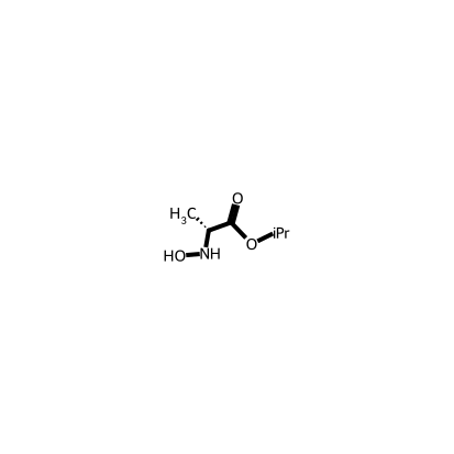 CC(C)OC(=O)[C@@H](C)NO